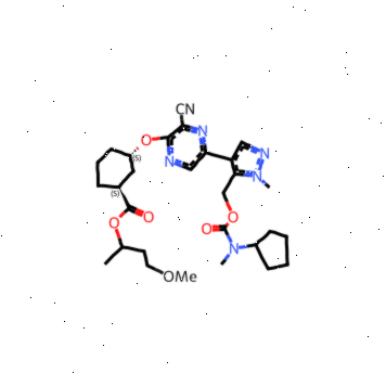 COCCC(C)OC(=O)[C@H]1CCC[C@H](Oc2ncc(-c3cnn(C)c3COC(=O)N(C)C3CCCC3)nc2C#N)C1